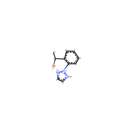 CC(Br)c1ccccc1-n1nccn1